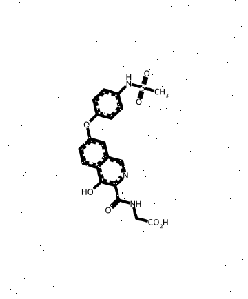 CS(=O)(=O)Nc1ccc(Oc2ccc3c(O)c(C(=O)NCC(=O)O)ncc3c2)cc1